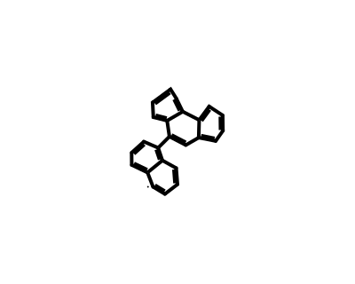 [c]1cccc2c(-c3cc4ccccc4c4ccccc34)cccc12